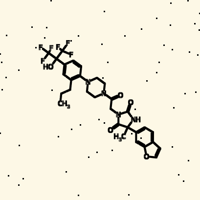 CCCc1cc(C(O)(C(F)(F)F)C(F)(F)F)ccc1N1CCN(C(=O)CN2C(=O)NC(C)(c3ccc4ccoc4c3)C2=O)CC1